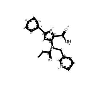 CCC(=O)N(Cc1cccnc1)c1cc(-c2ccccc2)sc1C(=O)O